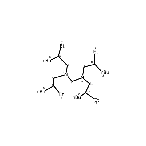 CCCCC(CC)CN(CC(CC)CCCC)CN(CC(CC)CCCC)CC(CC)CCCC